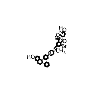 CN(Cc1cc(Br)c2c(c1)C(=O)N(C1CCC(=O)NC1=O)C2=O)C1CCN(c2ccc([C@@H]3c4ccc(O)cc4CC[C@@H]3c3ccccc3)cc2)CC1